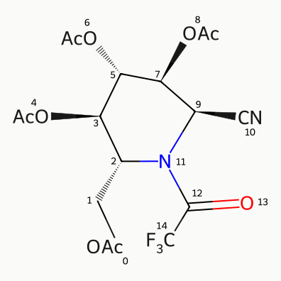 CC(=O)OC[C@@H]1[C@@H](OC(C)=O)[C@H](OC(C)=O)[C@@H](OC(C)=O)[C@@H](C#N)N1C(=O)C(F)(F)F